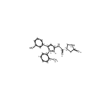 CCCc1cccc(-c2cc(NC(=O)[C@@H]3CNC(=O)C3)nn2-c2ccccc2C)c1